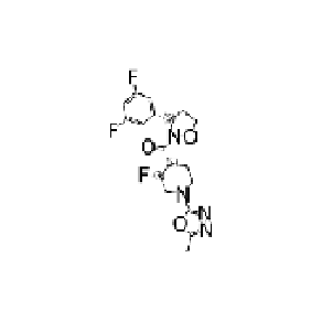 Cc1nnc(N2CC[C@@H](C(=O)N3OCC[C@H]3c3cc(F)cc(F)c3)[C@@H](F)C2)o1